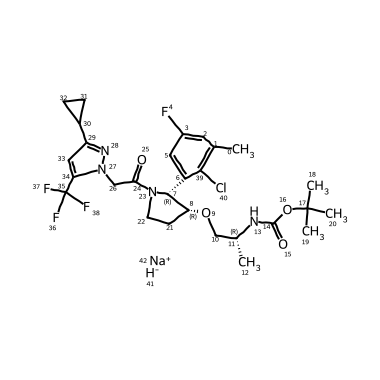 Cc1cc(F)cc([C@@H]2[C@H](OC[C@@H](C)NC(=O)OC(C)(C)C)CCN2C(=O)Cn2nc(C3CC3)cc2C(F)(F)F)c1Cl.[H-].[Na+]